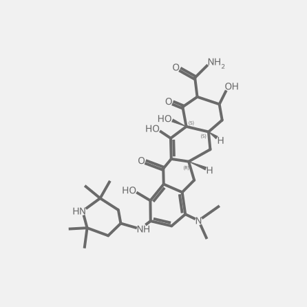 CN(C)c1cc(NC2CC(C)(C)NC(C)(C)C2)c(O)c2c1C[C@H]1C[C@H]3CC(O)C(C(N)=O)C(=O)[C@@]3(O)C(O)=C1C2=O